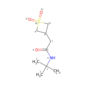 CC(C)(C)NC(=O)CC1CS(=O)(=O)C1